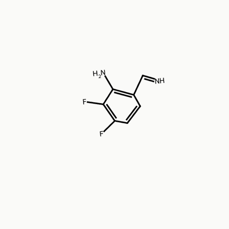 N=Cc1ccc(F)c(F)c1N